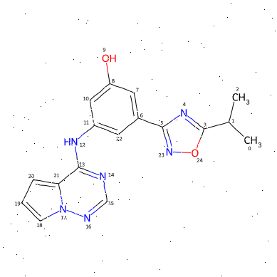 CC(C)c1nc(-c2cc(O)cc(Nc3ncnn4cccc34)c2)no1